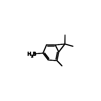 Bc1cc(C)c2c(c1)C2(C)C